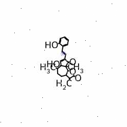 C=C1C(=O)OC2C1CCC(C)C1(O)C=C(/C=C/c3ccccc3O)C(=O)C21C